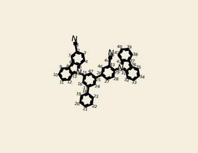 N#Cc1ccc2c(c1)c1ccccc1n2-c1cc(-c2ccccc2)cc(-c2ccc(-n3c4ccccc4c4ccccc43)c(C#N)c2)c1